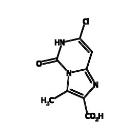 Cc1c(C(=O)O)nc2cc(Cl)[nH]c(=O)n12